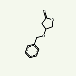 O=C1CC(OCc2ccccc2)CO1